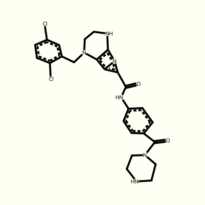 O=C(Nc1ccc(C(=O)N2CCNCC2)cc1)c1c2c3c(n1-2)NCCN3Cc1cc(Cl)ccc1Cl